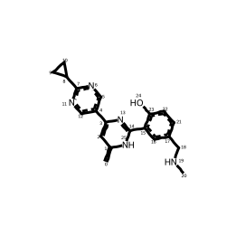 C=C1C=C(c2cnc(C3CC3)nc2)N=C(c2cc(CNC)ccc2O)N1